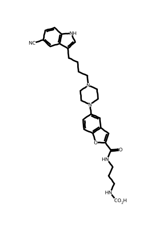 N#Cc1ccc2[nH]cc(CCCCN3CCN(c4ccc5oc(C(=O)NCCCNC(=O)O)cc5c4)CC3)c2c1